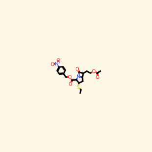 CCSC1CC2C(CCOC(C)=O)C(=O)N2C1C(=O)OCc1ccc([N+](=O)[O-])cc1